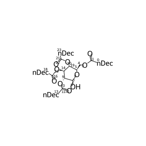 CCCCCCCCCCC(=O)OC[C@H]1O[C@@H](O)[C@H](OC(=O)CCCCCCCCCC)[C@@H](OC(=O)CCCCCCCCCC)[C@@H]1OC(=O)CCCCCCCCCC